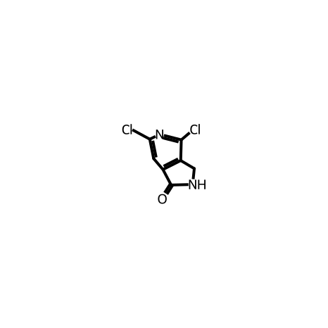 O=C1NCc2c1cc(Cl)nc2Cl